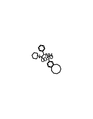 O=C([C@H](NS(=O)(=O)c1ccc2c(c1)CCCCCCC2)c1ccccc1)N1CCCCC1